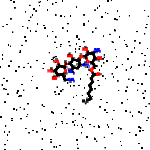 CCCCCCCC(=O)OCC1OC(OC2C(O)C(OC3OC(CN)C(O)C(O)C3O)C(N)C[C@@H]2N)C(O)C(N)C1O